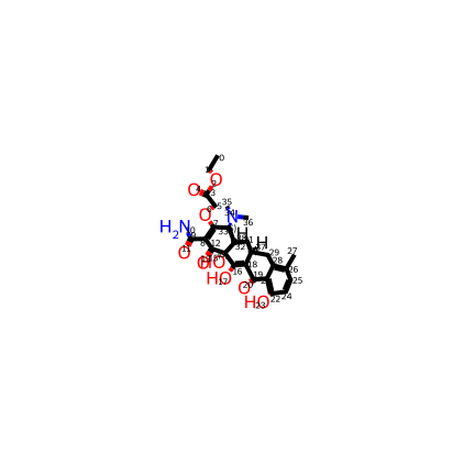 CCOC(=O)COC1=C(C(N)=O)C(=O)[C@@]2(O)C(O)=C3C(=O)c4c(O)ccc(C)c4C[C@H]3C[C@H]2[C@@H]1N(C)C